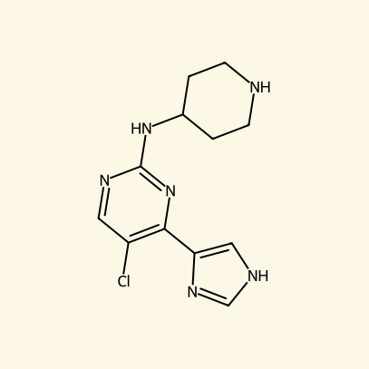 Clc1cnc(NC2CCNCC2)nc1-c1c[nH]cn1